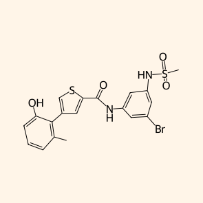 Cc1cccc(O)c1-c1csc(C(=O)Nc2cc(Br)cc(NS(C)(=O)=O)c2)c1